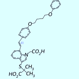 CC(C)(Sc1cn(CC(=O)O)c2c(/C=C/c3ccc(OCCCCOc4ccccc4)cc3)cccc12)C(=O)O